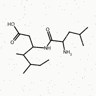 CCC(C)C(C)C(CC(=O)O)NC(=O)C(N)CC(C)C